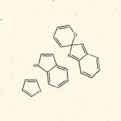 C1=COC2(C=C1)C=c1ccccc1=N2.c1ccc2[nH]ccc2c1.c1ccsc1